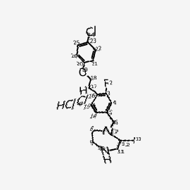 Cl.Cl.Fc1cc(CN2CCNCC2I)ccc1CCOc1ccc(Cl)cc1